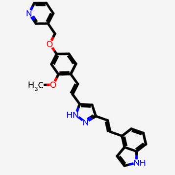 COc1cc(OCc2cccnc2)ccc1C=Cc1cc(C=Cc2cccc3[nH]ccc23)n[nH]1